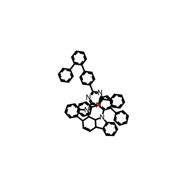 C1=CC2c3ccccc3N(c3c(-c4ccccc4)cccc3-c3ccccc3)C2C2C1c1ccccc1N2c1nc(-c2ccccc2)nc(-c2ccc(-c3ccccc3-c3ccccc3)cc2)n1